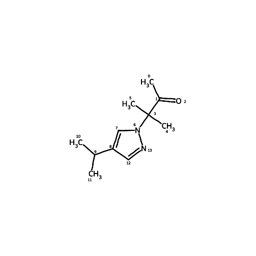 CC(=O)C(C)(C)n1cc(C(C)C)cn1